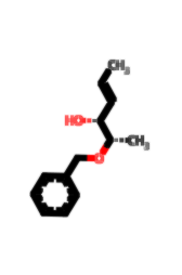 C/C=C/[C@@H](O)[C@H](C)OCc1ccccc1